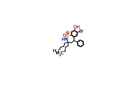 CCCCC1(CCCC)CC(c2ccccc2)c2cc(Br)c(O)cc2S(=O)(=O)N1